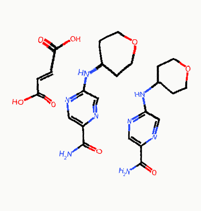 NC(=O)c1cnc(NC2CCOCC2)cn1.NC(=O)c1cnc(NC2CCOCC2)cn1.O=C(O)/C=C/C(=O)O